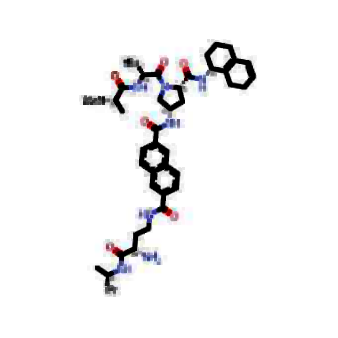 CN[C@@H](C)C(=O)N[C@H](C(=O)N1C[C@@H](NC(=O)c2ccc3cc(C(=O)NCC[C@H](N)C(=O)N[C@H](C)C(C)C)ccc3c2)C[C@H]1C(=O)N[C@@H]1CCCC2=C1CCC=C2)C(C)(C)C